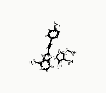 Cc1ccc(C#Cc2nc3c(N)ncnc3n2[C@@H]2O[C@H](CO)C(O)C2O)cc1